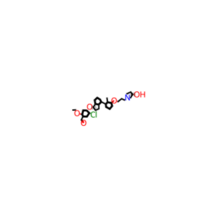 CCOc1cc(O[C@H]2CCc3c(-c4cccc(OCCCN5CC[C@@H](O)C5)c4C)cccc32)c(Cl)cc1C=O